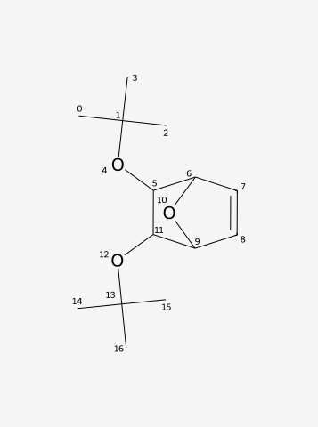 CC(C)(C)OC1C2C=CC(O2)C1OC(C)(C)C